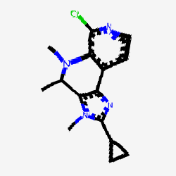 CC1c2c(nc(C3CC3)n2C)-c2ccnc(Cl)c2N1C